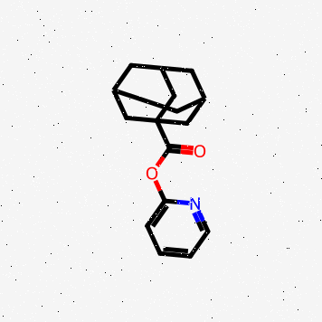 O=C(Oc1ccccn1)C12CC3CC(CC(C3)C1)C2